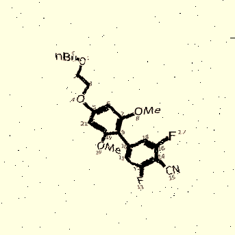 CCCCOCCOc1cc(OC)c(-c2cc(F)c(C#N)c(F)c2)c(OC)c1